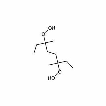 CCC(C)(CCC(C)(CC)OO)OO